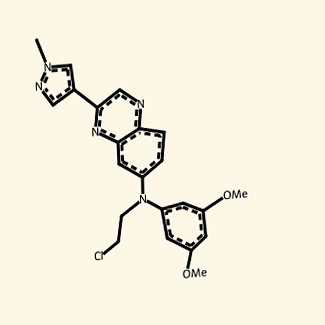 COc1cc(OC)cc(N(CCCl)c2ccc3ncc(-c4cnn(C)c4)nc3c2)c1